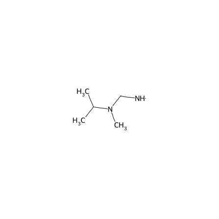 CC(C)N(C)C[NH]